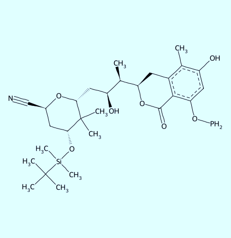 Cc1c(O)cc(OP)c2c1C[C@H]([C@H](C)[C@@H](O)C[C@H]1O[C@H](C#N)C[C@@H](O[Si](C)(C)C(C)(C)C)C1(C)C)OC2=O